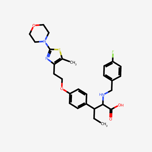 CCC(c1ccc(OCCc2nc(N3CCOCC3)sc2C)cc1)C(NCc1ccc(F)cc1)C(=O)O